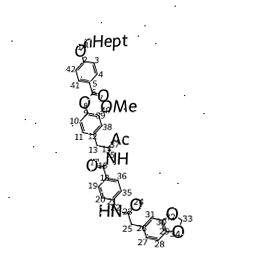 CCCCCCCOc1ccc(C(=O)Oc2ccc(CC(NC(=O)c3ccc(NC(=O)Cc4ccc5c(c4)OCO5)cc3)C(C)=O)cc2OC)cc1